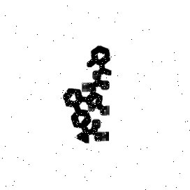 Cc1ccccc1C(C)OC(=O)Nc1cc(Cl)sc1-c1ccccc1-c1ccc(C2(C(=O)O)CC2)cc1